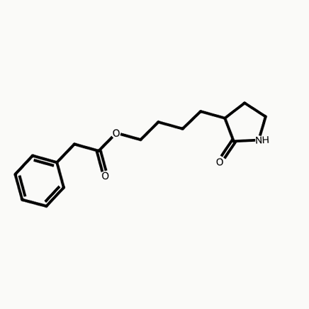 O=C(Cc1ccccc1)OCCCCC1CCNC1=O